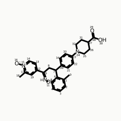 Cc1ccccc1C(C/C(=N\O)c1cc[n+]([O-])c(C)c1)c1ccc(N2CCC(C(=O)O)CC2)cc1